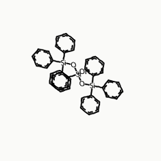 O[Si](O[Si](c1ccccc1)(c1ccccc1)c1ccccc1)(O[Si](c1ccccc1)(c1ccccc1)c1ccccc1)c1ccccc1